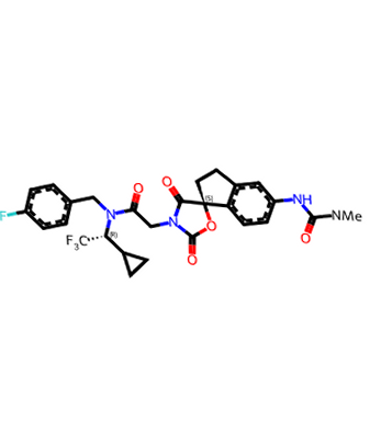 CNC(=O)Nc1ccc2c(c1)CC[C@]21OC(=O)N(CC(=O)N(Cc2ccc(F)cc2)[C@H](C2CC2)C(F)(F)F)C1=O